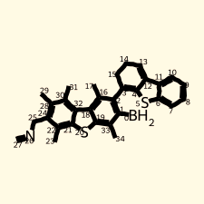 Bc1c(C2=c3sc4ccccc4c3=CCC2)c(C)c2c(sc3c(C)c(CN=C)c(C)c(C)c32)c1C